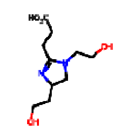 O=C(O)CCC1=NC(CCO)CN1CCO